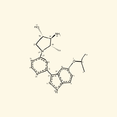 CC(C)Oc1ccc2[nH]nc(-c3cc(N4C[C@H](O)[C@@H](N)[C@@H]4C)ncn3)c2c1